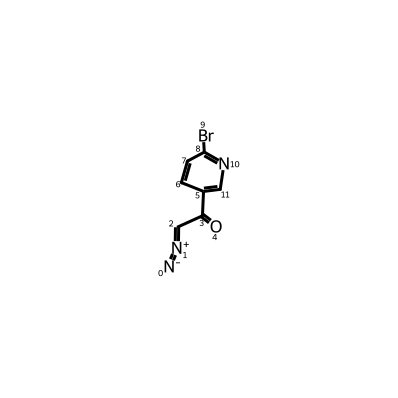 [N-]=[N+]=CC(=O)c1ccc(Br)nc1